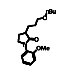 CCCCOCCCC1CCN(c2ccccc2OC)C1=O